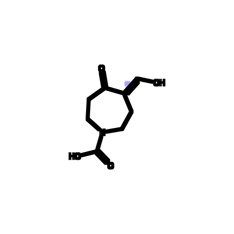 O=C1CCN(C(=O)O)CC/C1=C\O